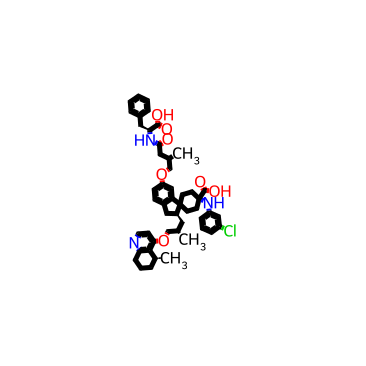 CC(COc1ccc2c(c1)C1(CCC(Nc3cccc(Cl)c3)(C(=O)O)CC1)[C@@H](C[C@@H](C)COc1ccnc3c1[C@H](C)CCC3)C2)CC(=O)N[C@@H](Cc1ccccc1)C(=O)O